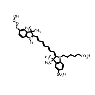 CC[N+]1=C(/C=C/C=C/C=C/C=C2/N(CCCCCC(=O)O)c3ccc(S(=O)(=O)O)cc3C2(C)C)C(C)(C)c2cc(SOOO)ccc21